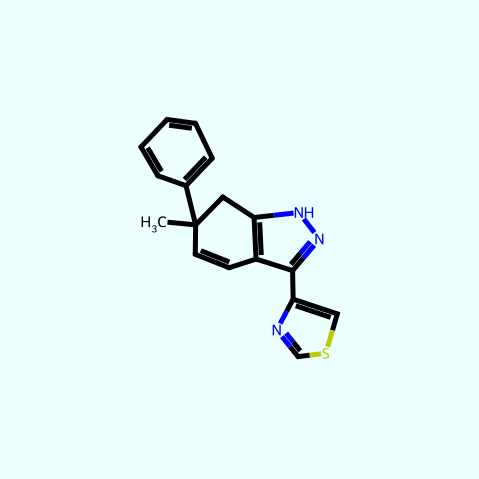 CC1(c2ccccc2)C=Cc2c(-c3cscn3)n[nH]c2C1